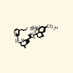 Cc1cc(Nc2cc(CCF)ccn2)nc(-c2cnc(C3(O[Si](C)(C)C(C)(C)C)CCCc4cc(C(=O)O)ccc43)s2)c1